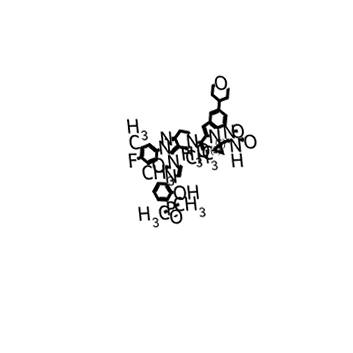 Cc1cc(-n2nc3c(c2-n2ccn(-c4cccc(P(C)(C)=O)c4O)c2=O)[C@H](C)N(C(=O)c2cc4cc(C5CCOCC5)ccc4n2[C@@]2(c4noc(=O)[nH]4)C[C@@H]2C)CC3)cc(C)c1F